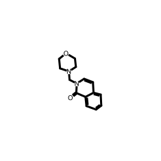 O=c1c2ccccc2ccn1CN1CCOCC1